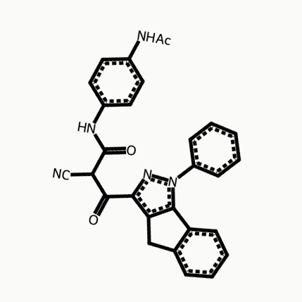 CC(=O)Nc1ccc(NC(=O)C(C#N)C(=O)c2nn(-c3ccccc3)c3c2Cc2ccccc2-3)cc1